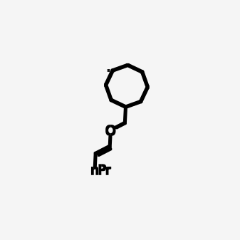 CCC/C=C/OCC1CC[CH]CCCC1